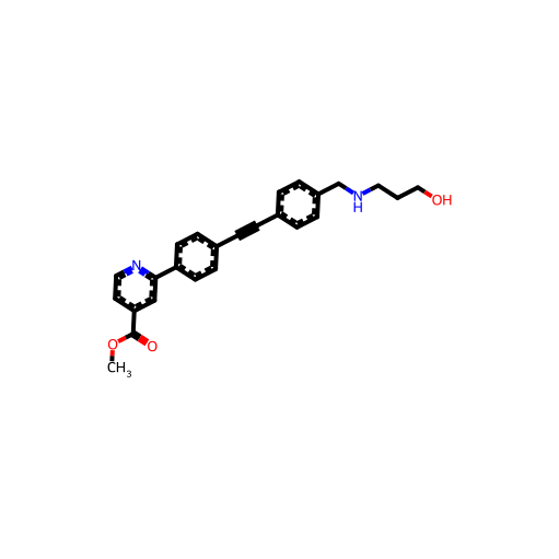 COC(=O)c1ccnc(-c2ccc(C#Cc3ccc(CNCCCO)cc3)cc2)c1